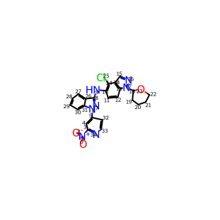 O=[N+]([O-])c1cc(-n2nc(Nc3ccc4c(cnn4C4CCCCO4)c3Cl)c3ccccc32)ccn1